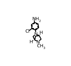 CN1C[C@H]2C[C@@H]1CN2c1ccc(N)cc1Cl